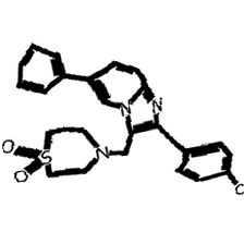 O=S1(=O)CCN(Cc2c(-c3ccc(Cl)cc3)nc3ccc(-c4ccccc4)cn23)CC1